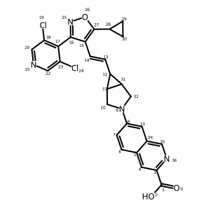 O=C(O)c1cc2ccc(N3CC4C(/C=C/c5c(-c6c(Cl)cncc6Cl)noc5C5CC5)C4C3)cc2cn1